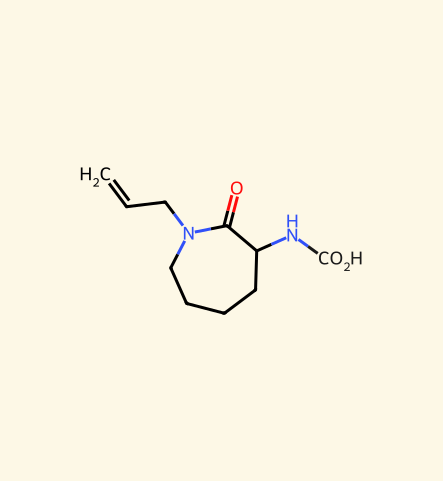 C=CCN1CCCCC(NC(=O)O)C1=O